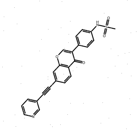 CS(=O)(=O)Nc1ccc(-c2coc3cc(C#Cc4cccnc4)ccc3c2=O)cc1